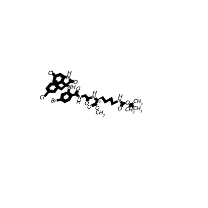 COC(=O)[C@H](CCCCNC(=O)OC(C)(C)C)NC(=O)CNC(=O)c1ccc(Br)cc1NC1(Cc2cccc(Cl)c2)C(=O)Nc2cc(Cl)ccc21